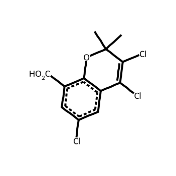 CC1(C)Oc2c(C(=O)O)cc(Cl)cc2C(Cl)=C1Cl